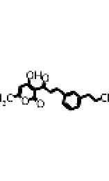 Cc1cc(O)c(C(=O)C=Cc2cccc(CCC#N)c2)c(=O)o1